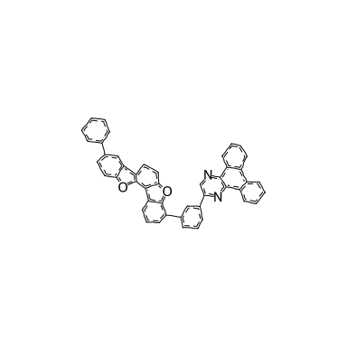 c1ccc(-c2ccc3oc4c(ccc5oc6c(-c7cccc(-c8cnc9c%10ccccc%10c%10ccccc%10c9n8)c7)cccc6c54)c3c2)cc1